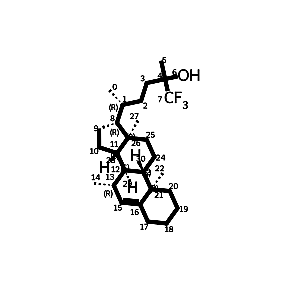 C[C@H](CCC(C)(O)C(F)(F)F)[C@H]1CC[C@H]2[C@@H]3[C@@H](C)C=C4CCCC[C@]4(C)[C@H]3CC[C@]12C